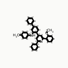 COc1ccccc1-c1cc(-c2ccc(-c3ccccc3)cc2Nc2ccc(C)cc2)cc(-c2ccccc2)n1